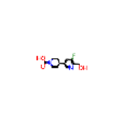 O=C(O)N1CCC(c2cnc(CO)c(F)c2)CC1